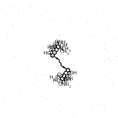 CN(C)[C@@H]1C(O)=C(C(N)=O)C(=O)[C@@]2(O)C(O)=C3C(=O)c4c(O)ccc(C#CCCCCC#Cc5ccc(O)c6c5CC5CC7[C@H](N(C)C)C(O)=C(C(N)=O)C(=O)[C@@]7(O)C(O)=C5C6=O)c4CC3CC12